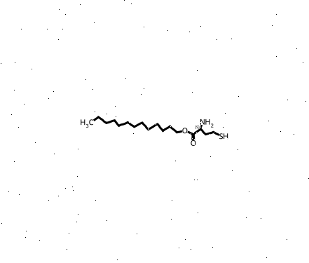 CCCCCCCCCCCCCOC(=O)[C@@H](N)CCS